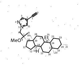 C#Cc1cnn(CC(C)(OC)[C@H]2CCC3[C@@H]4CC[C@]5(C)C[C@@H](C)CC[C@]5(CC)C4CC[C@@]32C)c1